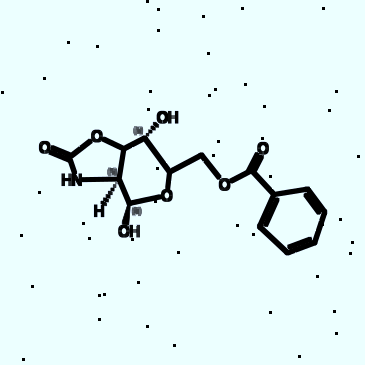 O=C1N[C@H]2C(O1)[C@H](O)C(COC(=O)c1ccccc1)O[C@H]2O